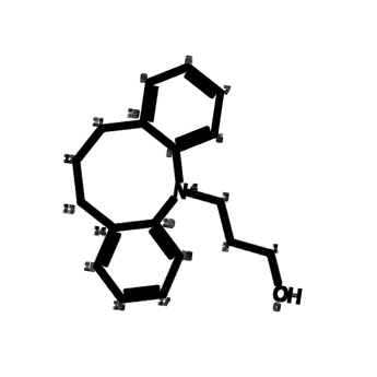 OCCCN1c2ccccc2CCCc2ccccc21